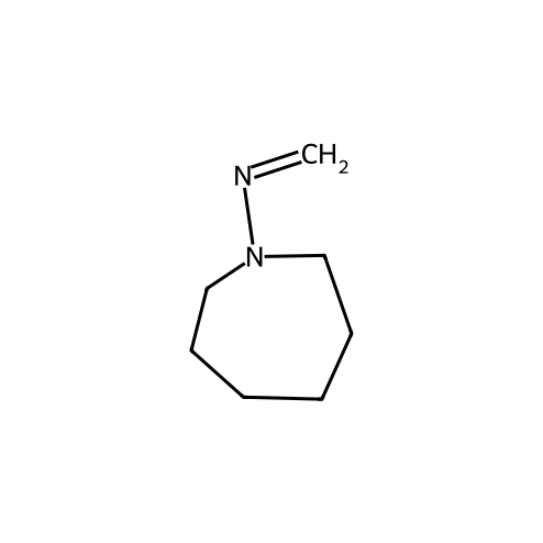 C=NN1CCCCCC1